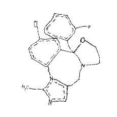 Cc1ncc2n1-c1ccc(Cl)cc1C1(c3ccccc3F)OCCN1C2